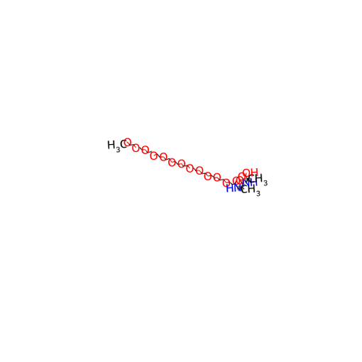 COCCOCCOCCOCCOCCOCCOCCOCCOCCOCCOCCOCCC(=O)N[C@H](C)C(=O)N[C@H](C)C(=O)O